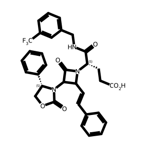 O=C(O)CC[C@@H](C(=O)NCc1cccc(C(F)(F)F)c1)N1C(=O)C(N2C(=O)OC[C@@H]2c2ccccc2)C1C=Cc1ccccc1